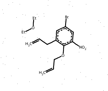 C=CCOc1c(CC=C)cc(Br)cc1[N+](=O)[O-].CCOCC